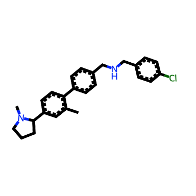 Cc1cc(C2CCCN2C)ccc1-c1ccc(CNCc2ccc(Cl)cc2)cc1